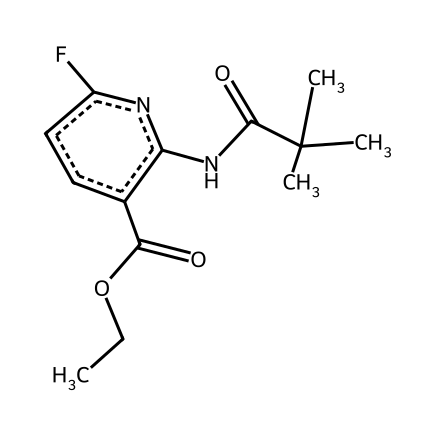 CCOC(=O)c1ccc(F)nc1NC(=O)C(C)(C)C